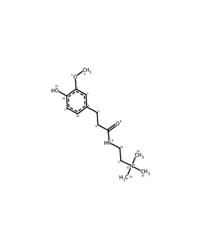 COc1cc(CCC(=O)NCC[N+](C)(C)C)ccc1O